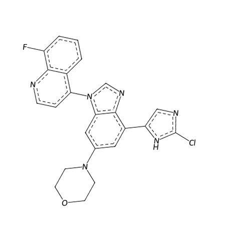 Fc1cccc2c(-n3cnc4c(-c5cnc(Cl)[nH]5)cc(N5CCOCC5)cc43)ccnc12